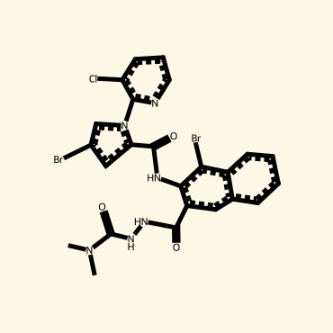 CN(C)C(=O)NNC(=O)c1cc2ccccc2c(Br)c1NC(=O)c1cc(Br)cn1-c1ncccc1Cl